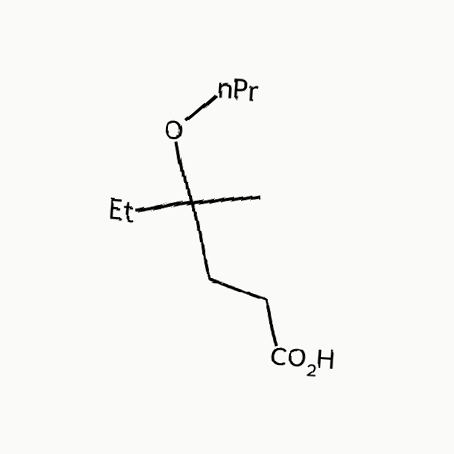 [CH2]CC(C)(CCC(=O)O)OCCC